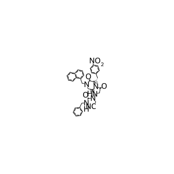 N#CCN(C(=O)NCc1ccccc1)N1CC(=O)N2[C@@H](Cc3ccc([N+](=O)[O-])cc3)C(=O)N(Cc3cccc4ccccc34)C[C@@H]21